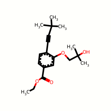 CCOC(=O)c1ccc(C#CC(C)(C)C)c(OCC(C)(C)O)c1